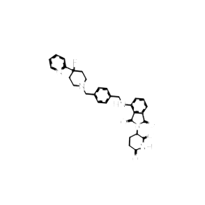 O=C1CCC(N2C(=O)c3cccc(NCc4ccc(CN5CCC(F)(c6ccccn6)CC5)cc4)c3C2=O)C(=O)N1